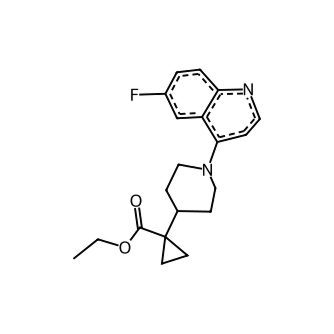 CCOC(=O)C1(C2CCN(c3ccnc4ccc(F)cc34)CC2)CC1